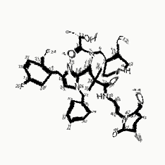 C[C@H](O)C(=O)N(C[C@@H]1CNC[C@@H]1F)[C@@H](c1nc(-c2cc(F)ccc2F)cn1Cc1ccccc1)C(C)(C)C(=O)NCCN1C(=O)C=CC1=O